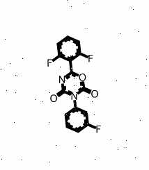 O=c1nc(-c2c(F)cccc2F)oc(=O)n1-c1cccc(F)c1